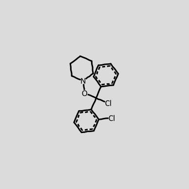 Clc1ccccc1C(Cl)(ON1CCCCC1)c1ccccc1